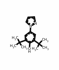 CC(C)(C)c1cc(-n2cccn2)cc(C(C)(C)C)c1O